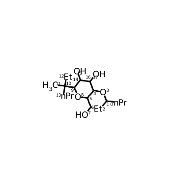 CCCC(CC)OC1C(CO)OC(C(C)(CC)CCC)C(O)C1O